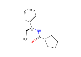 CC[C@H](NC(=O)C1CCCC1)c1ccccc1